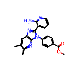 COC(=O)c1ccc(-n2c(-c3cccnc3N)nc3cc(C)c(C)nc32)cc1